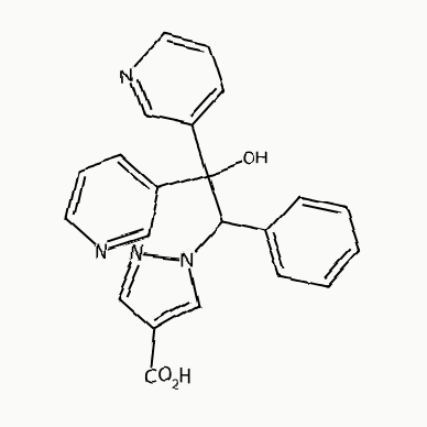 O=C(O)c1cnn(C(c2ccccc2)C(O)(c2cccnc2)c2cccnc2)c1